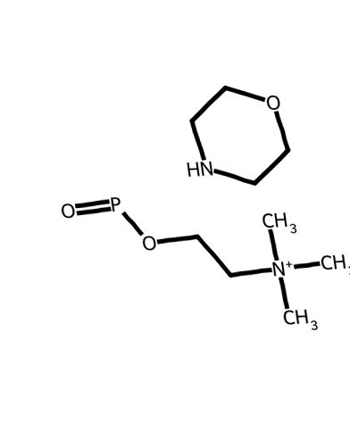 C1COCCN1.C[N+](C)(C)CCOP=O